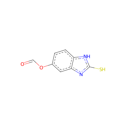 O=COc1ccc2[nH]c(S)nc2c1